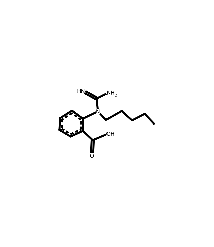 CCCCCN(C(=N)N)c1ccccc1C(=O)O